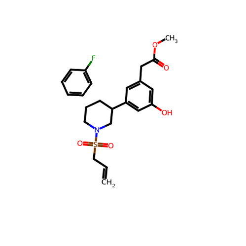 C=CCS(=O)(=O)N1CCCC(c2cc(O)cc(CC(=O)OC)c2)C1.Fc1ccccc1